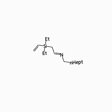 C=C[Si](CC)(CC)CC=NCCCCCCCC